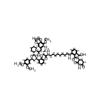 CC[C@H](C(=O)N1CCCC[C@H]1C(=O)O[C@H](CCc1ccc(OC)c(OC)c1)c1ccccc1OCC(=O)NCCCCCCCCNc1cccc2c1C(=O)N(C1CCC(=O)NC1=O)C2O)c1cc(OC)c(OC)c(OC)c1